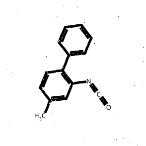 Cc1ccc(-c2ccccc2)c(N=C=O)c1